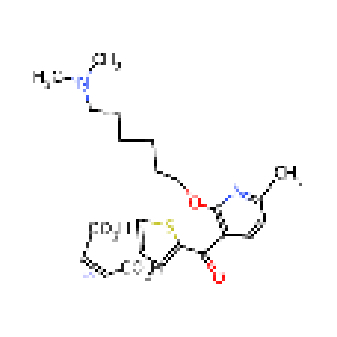 Cc1ccc(C(=O)c2cccs2)c(OCCCCCCN(C)C)n1.O=C(O)/C=C\C(=O)O